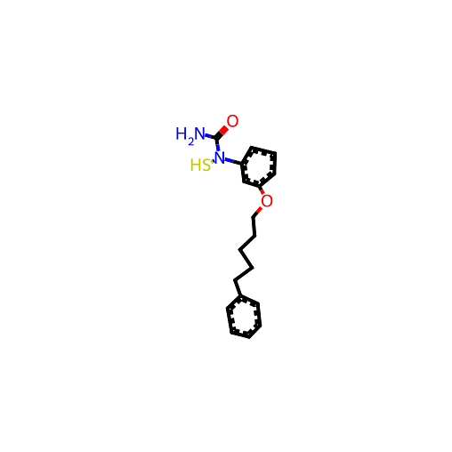 NC(=O)N(S)c1cccc(OCCCCCc2ccccc2)c1